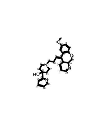 COc1ccc2c(c1)/C(=C/CCN1CCC(O)(c3ccccn3)CC1)C1C=CC=NC1CO2